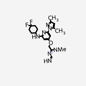 CN/C(COc1cc(NC2CCC(F)(F)CC2)nc(-n2nc(C)cc2C)c1)=N\C=N